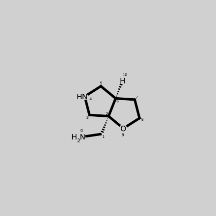 NC[C@]12CNC[C@H]1CCO2